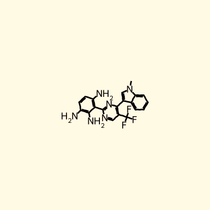 Cn1cc(-c2nc(-c3c(N)ccc(N)c3N)ncc2C(F)(F)F)c2ccccc21